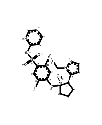 CCn1nccc1[C@H]1CCC[C@@]1(C)Oc1cc(F)c(S(=O)(=O)Nc2ccncn2)cc1F